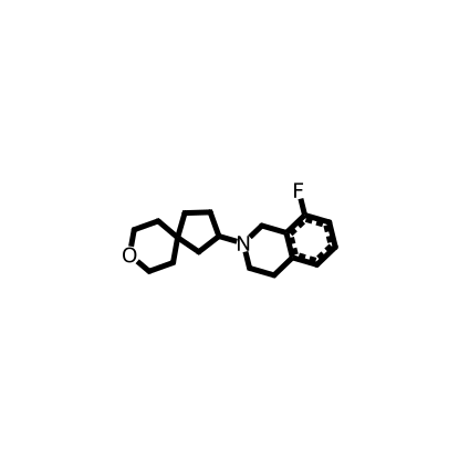 Fc1cccc2c1CN(C1CCC3(CCOCC3)C1)CC2